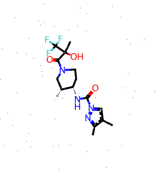 Cc1cn(C(=O)N[C@H]2CCN(C(=O)C(C)(O)C(F)(F)F)C[C@H]2C)nc1C